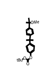 COC(C)(C)c1ccc(C(C)(C)c2ccc(OC(=O)OC(C)(C)C)cc2)cc1